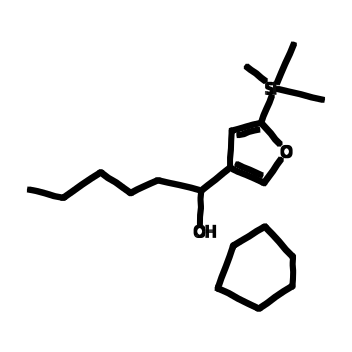 C1CCCCC1.CCCCCC(O)c1coc([Si](C)(C)C)c1